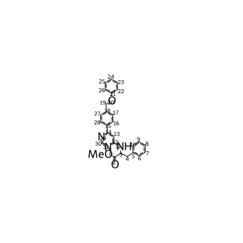 COC(=O)C(Cc1ccccc1)Nc1cc(-c2ccc(COc3ccccc3)cc2)ncn1